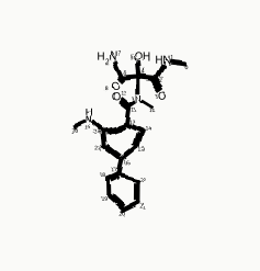 CNC(=O)C(O)(C(N)=O)N(C)C(=O)c1ccc(-c2ccccc2)cc1NC